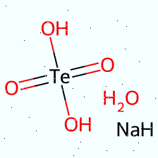 O.O=[Te](=O)(O)O.[NaH]